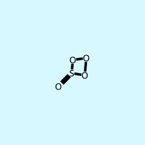 O=S1OOO1